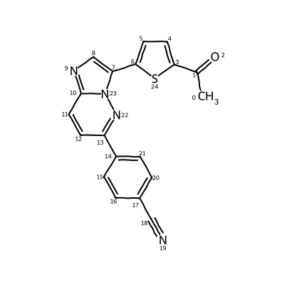 CC(=O)c1ccc(-c2cnc3ccc(-c4ccc(C#N)cc4)nn23)s1